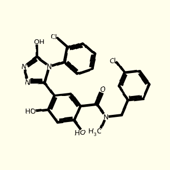 CN(Cc1cccc(Cl)c1)C(=O)c1cc(-c2nnc(O)n2-c2ccccc2Cl)c(O)cc1O